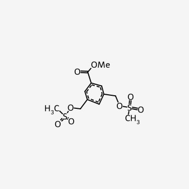 COC(=O)c1cc(COS(C)(=O)=O)cc(COS(C)(=O)=O)c1